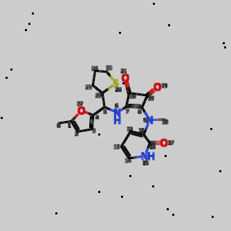 Cc1ccc(C(Nc2c(N(C)c3ccc[nH]c3=O)c(=O)c2=O)C2CCCS2)o1